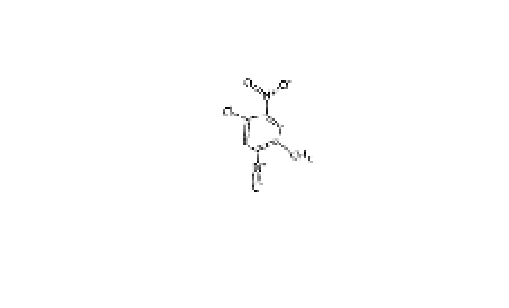 [C-]#[N+]c1cc(Cl)c([N+](=O)[O-])cc1C